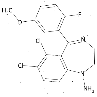 COc1ccc(F)c(C2=NCCN(N)c3ccc(Cl)c(Cl)c32)c1